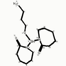 CCCCO[SiH](N1CCCCCC1=O)N1CCCCCC1=O